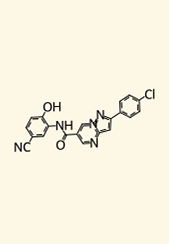 N#Cc1ccc(O)c(NC(=O)c2cnc3cc(-c4ccc(Cl)cc4)nn3c2)c1